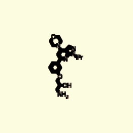 CC(C)n1ncc2c(N3CCOCC3)cc(-c3cccc(OCC(O)CN)c3)nc21